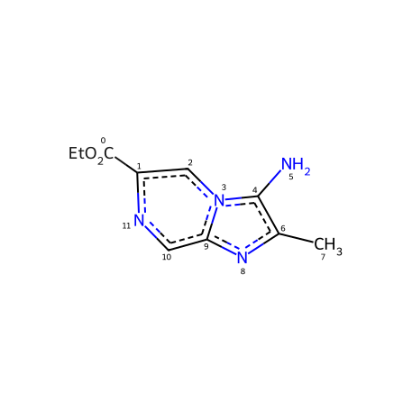 CCOC(=O)c1cn2c(N)c(C)nc2cn1